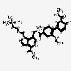 CCOc1cc(C(=O)N(C)Cc2cnc(C(=O)OC)c3cnn(COCC[Si](C)(C)C)c23)ccc1-c1ccc(F)c(C(=O)NC)c1